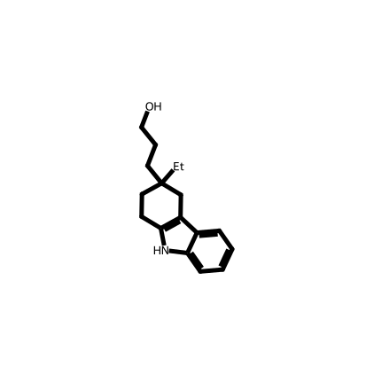 CCC1(CCCO)CCc2[nH]c3ccccc3c2C1